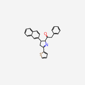 O=C(Cc1ccccc1)C1N=C(c2cccs2)CC1c1ccc2ccccc2c1